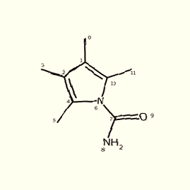 Cc1c(C)c(C)n(C(N)=O)c1C